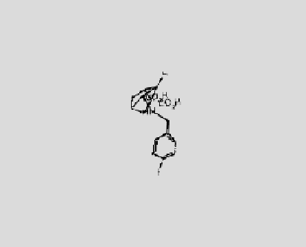 O=C(O)[C@@]1(NCc2ccc(F)cc2)C2CC3[C@@H]1[C@@]3(C(=O)O)C2